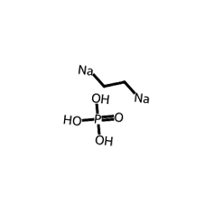 O=P(O)(O)O.[Na][CH2][CH2][Na]